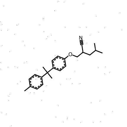 Cc1ccc(C(C)(C)c2ccc(OCC(C#N)CC(C)C)cc2)cc1